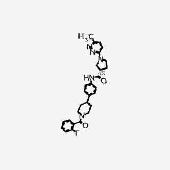 Cc1ccc(N2CC[C@H](C(=O)Nc3ccc(C4CCN(C(=O)c5ccccc5F)CC4)cc3)C2)nn1